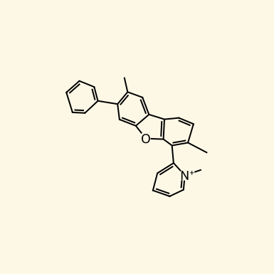 Cc1cc2c(cc1-c1ccccc1)oc1c(-c3cccc[n+]3C)c(C)ccc12